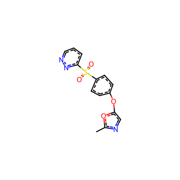 Cc1ncc(Oc2ccc(S(=O)(=O)c3cccnn3)cc2)o1